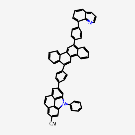 N#Cc1cc2ccc3cc(-c4ccc(-c5cc6c7ccccc7c(-c7ccc(-c8cccc9cccnc89)cc7)cc6c6ccccc56)cc4)cc4c3c2c(c1)n4-c1ccccc1